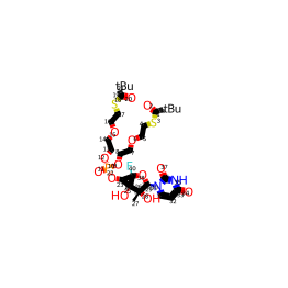 CC(C)(C)C(=O)SCCOCCOP(=O)(OCCOCCSC(=O)C(C)(C)C)OC1[C@]2(O)[C@@](C)(O)[C@H](n3ccc(=O)[nH]c3=O)O[C@]12F